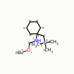 CCCCOCNC1(C[Si](C)(C)C)CCCCC1